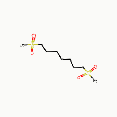 CCS(=O)(=O)CCCCCCCS(=O)(=O)CC